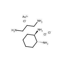 NCCCN.N[C@@H]1CCCC[C@H]1N.[Au+3].[Cl-].[Cl-].[Cl-]